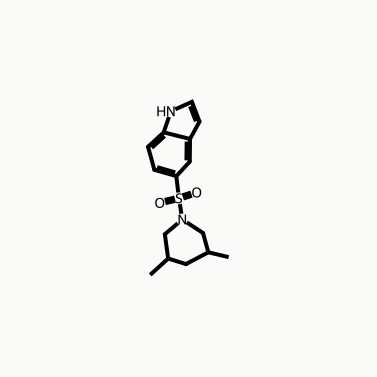 CC1CC(C)CN(S(=O)(=O)c2ccc3[nH]ccc3c2)C1